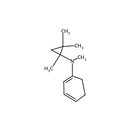 CN(C1=CC=CCC1)C1(C)CC1(C)C